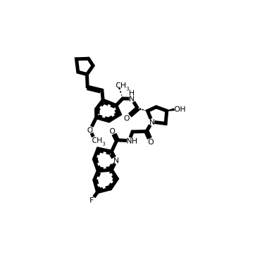 COc1ccc([C@H](C)NC(=O)[C@@H]2C[C@@H](O)CN2C(=O)CNC(=O)c2ccc3cc(F)ccc3n2)c(/C=C/C2CCCC2)c1